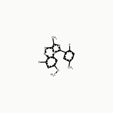 COc1cc(F)c2nnc3c(C)nc(-c4cc(C)ccc4F)n3c2c1